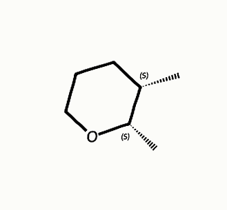 C[C@@H]1OCCC[C@@H]1C